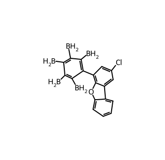 Bc1c(B)c(B)c(-c2cc(Cl)cc3c2oc2ccccc23)c(B)c1B